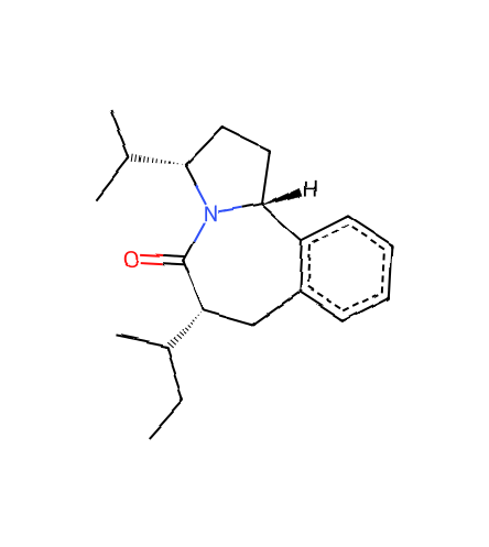 CCC(C)[C@H]1Cc2ccccc2[C@H]2CC[C@@H](C(C)C)N2C1=O